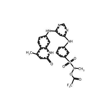 Cc1cc(=O)[nH]c2cc(Nc3cc(Nc4cccc(S(=O)(=O)N(C)OC(=O)C(F)(F)F)c4)ncn3)ccc12